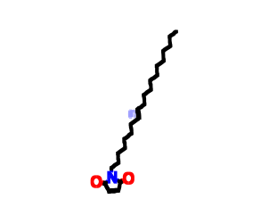 CCCCCCCCCCC/C=C/CCCCCCCN1C(=O)C=CC1=O